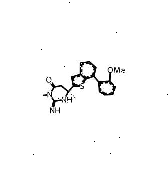 COc1ccccc1-c1cccc2cc([C@]3(C)CC(=O)N(C)C(=N)N3)sc12